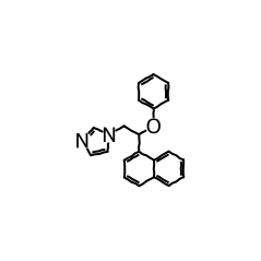 c1ccc(OC(Cn2ccnc2)c2cccc3ccccc23)cc1